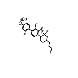 CCCCOc1ccc(-c2ccc(C3CCC(CCCF)CC3(F)F)c(F)c2F)c(F)c1